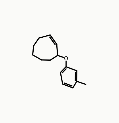 Cc1cccc(OC2/C=C\CCCCC2)c1